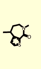 CC1CCN(C)C(=O)c2sccc21